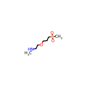 CNCCOCCCS(C)(=O)=O